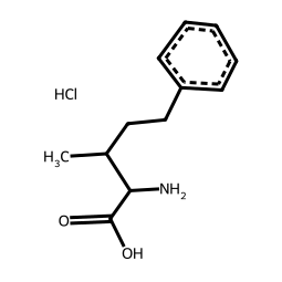 CC(CCc1ccccc1)C(N)C(=O)O.Cl